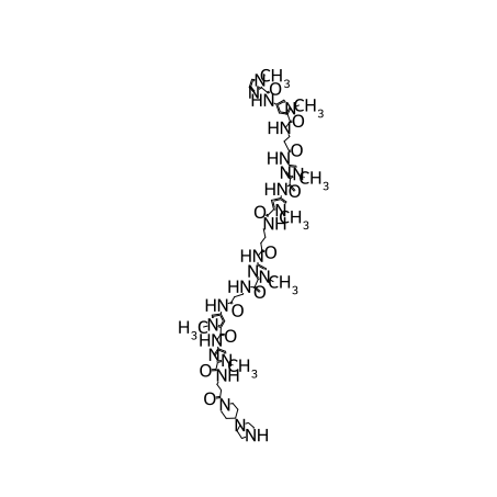 Cn1cc(NC(=O)c2nc(NC(=O)CCNC(=O)c3cc(NC(=O)c4nccn4C)cn3C)cn2C)cc1C(=O)NCCCC(=O)Nc1cn(C)c(C(=O)NCCC(=O)Nc2cc(C(=O)Nc3cn(C)c(C(=O)NCCC(=O)N4CCC(N5CCNCC5)CC4)n3)n(C)c2)n1